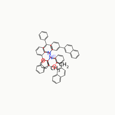 C=C/C=C(\c1oc2ccccc2c1C)N(c1cccc(-c2ccc3ccccc3c2)c1)c1ccccc1-c1ccccc1N(c1ccc(-c2ccccc2)cc1)c1cccc2c1oc1c3ccccc3ccc21